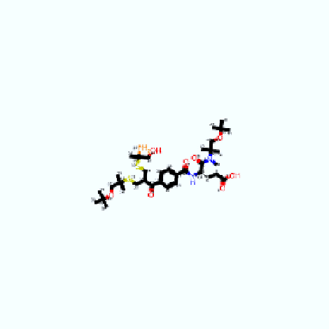 CN(C(=O)[C@H](CCC(=O)O)NC(=O)c1ccc(C(=O)C(CSC(C)(C)COC(C)(C)C)CSC(C)(P)CO)cc1)C(C)(C)COC(C)(C)C